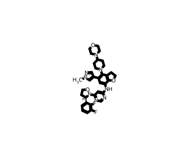 Cn1cc(-c2cc(Nc3cc(N4OCC[C@@H]4c4cccc(F)c4F)ncn3)c3c(c2N2CCC(N4CCOCC4)CC2)CCO3)cn1